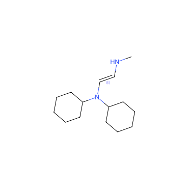 CN/C=C/N(C1CCCCC1)C1CCCCC1